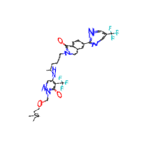 CC(CCCn1ccc2cc(-c3ncc(C(F)(F)F)cn3)ccc2c1=O)Nc1cnn(COCC[Si](C)(C)C)c(=O)c1C(F)(F)F